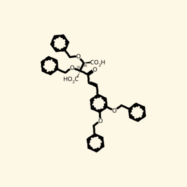 O=C(O)[C@H](OCc1ccccc1)[C@@](OCc1ccccc1)(C(=O)O)C(=O)C=Cc1ccc(OCc2ccccc2)c(OCc2ccccc2)c1